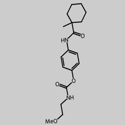 COCCNC(=O)Oc1ccc(NC(=O)C2(C)CCCCC2)cc1